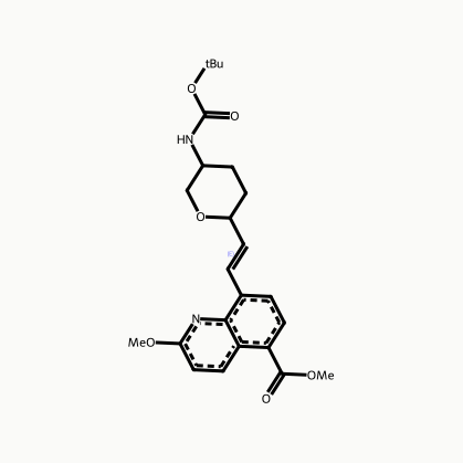 COC(=O)c1ccc(/C=C/C2CCC(NC(=O)OC(C)(C)C)CO2)c2nc(OC)ccc12